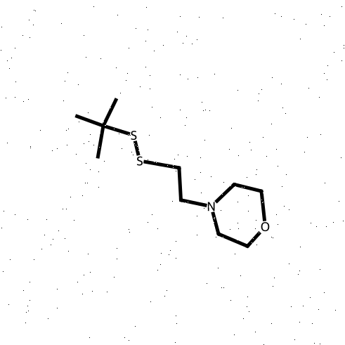 CC(C)(C)SSCCN1CCOCC1